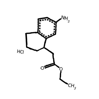 CCOC(=O)CC1CCCc2ccc(N)cc21.Cl